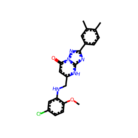 COc1ccc(Cl)cc1NCc1cc(=O)n2nc(-c3ccc(C)c(C)c3)nc2[nH]1